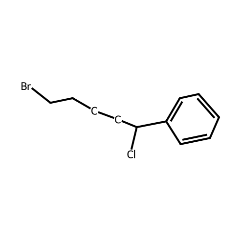 ClC(CCCCBr)c1ccccc1